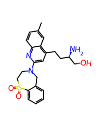 Cc1ccc2nc(N3CCS(=O)(=O)c4ccccc4C3)cc(CC[C@@H](N)CO)c2c1